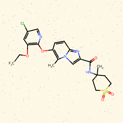 Cc1c(Oc2ncc(Cl)cc2OCC(F)(F)F)ccc2nc(C(=O)NC3(C)CCS(=O)(=O)CC3)cn12